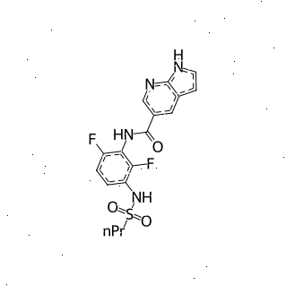 CCCS(=O)(=O)Nc1ccc(F)c(NC(=O)c2cnc3[nH]ccc3c2)c1F